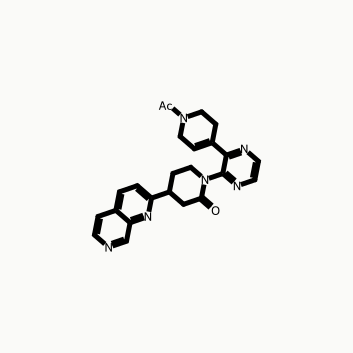 CC(=O)N1CC=C(c2nccnc2N2CCC(c3ccc4ccncc4n3)CC2=O)CC1